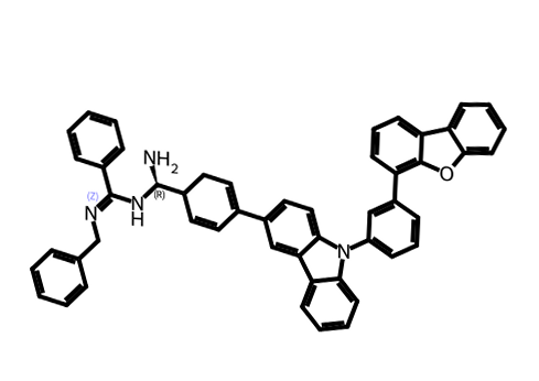 N[C@H](N/C(=N\Cc1ccccc1)c1ccccc1)C1C=CC(c2ccc3c(c2)c2ccccc2n3-c2cccc(-c3cccc4c3oc3ccccc34)c2)=CC1